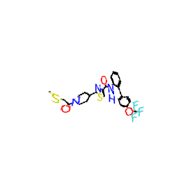 CSCC(=O)N1CCC(c2nc(C(=O)Nc3ccccc3-c3ccc(OC(F)(F)F)cc3)cs2)CC1